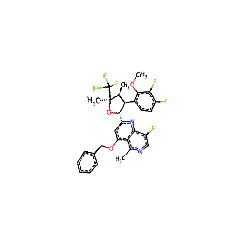 COc1c([C@H]2[C@H](c3cc(OCc4ccccc4)c4c(C)ncc(F)c4n3)O[C@@](C)(C(F)(F)F)[C@H]2C)ccc(F)c1F